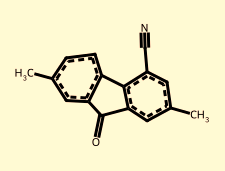 Cc1ccc2c(c1)C(=O)c1cc(C)cc(C#N)c1-2